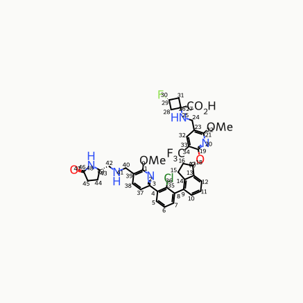 COc1nc(-c2cccc(-c3cccc4c3CC[C@@H]4Oc3nc(OC)c(CN[C@]4(C(=O)O)C[C@H](F)C4)cc3C(F)(F)F)c2Cl)ccc1CNC[C@@H]1CCC(=O)N1